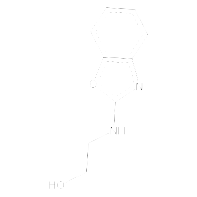 OCCNc1nc2ccccc2o1